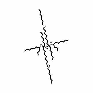 CCCCCCCOCCCCCCCC(CCCCCC)(OC(CCC)CCCCCC)OC(CCCCCC)(CCCCCCCOCCCCCCC)OC(CCC)CCCCCC